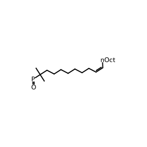 CCCCCCCC/C=C\CCCCCCCC(C)(C)P=O